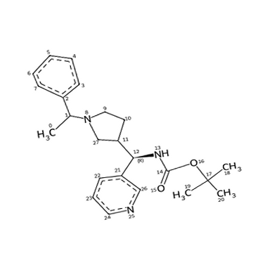 CC(c1ccccc1)N1CCC([C@@H](NC(=O)OC(C)(C)C)c2cccnc2)C1